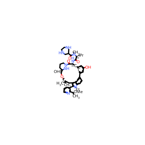 CCn1c(-c2cccnc2[C@H](C)OC)c2c3cc(ccc31)-c1cc(O)cc(c1)C[C@H](NC(=O)[C@H](C(C)C)N(C)C(=O)C1CNCCNC1)C(=O)N1CCC[C@](C=O)(COCC(C)(C)C2)N1